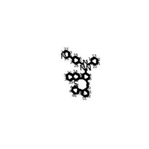 C1=C\c2ccc(-c3nc(-c4ccccc4)nc(-c4ccc(-c5cccnc5)cc4)n3)cc2-c2ccc3ccccc3c2Sc2ccccc2-c2ccccc2/1